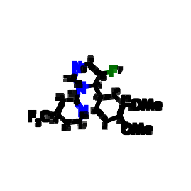 COc1ccc(C2C(F)=CN=CN2c2cc(C(F)(F)F)ccn2)cc1OC